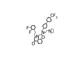 O=C(Cn1c(CCc2cccc(F)c2F)cc(=O)c2ccccc21)N(CCN1CCCC1)Cc1ccc(-c2ccc(C(F)(F)F)cc2)cc1